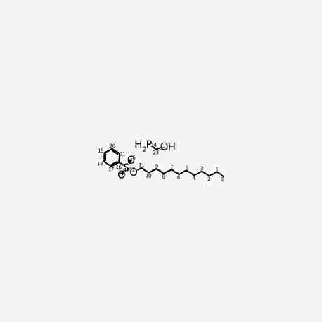 CCCCCCCCCCCCOS(=O)(=O)c1ccccc1.OCP